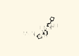 CNC[C@H]1CCN(c2nccc(Nc3cc(C4CCCC4)[nH]n3)n2)C1